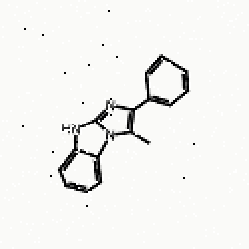 Cc1c(-c2ccccc2)nc2[nH]c3ccccc3n12